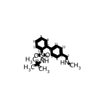 CNCc1ccc(-c2ccccc2S(=O)(=O)NC(C)(C)C)cc1